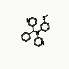 CSc1cccc(N(c2cccnc2)C(c2ccccc2)c2cccnc2)c1